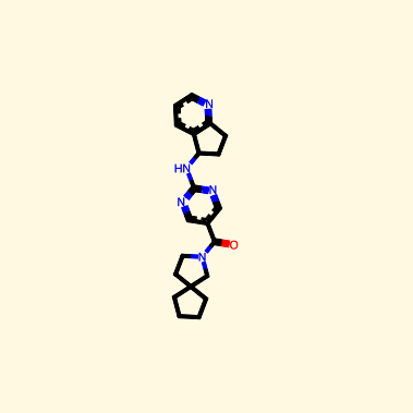 O=C(c1cnc(NC2CCc3ncccc32)nc1)N1CCC2(CCCC2)C1